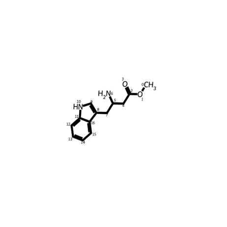 COC(=O)CC(N)Cc1c[nH]c2ccccc12